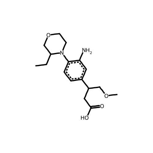 CCC1COCCN1c1ccc(C(COC)CC(=O)O)cc1N